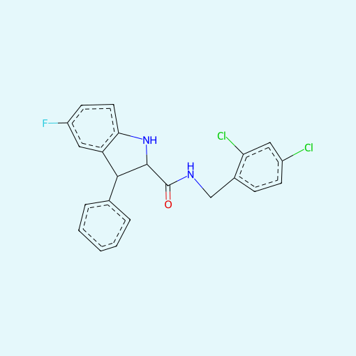 O=C(NCc1ccc(Cl)cc1Cl)C1Nc2ccc(F)cc2C1c1ccccc1